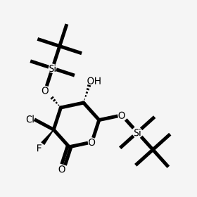 CC(C)(C)[Si](C)(C)OC1OC(=O)[C@](F)(Cl)[C@H](O[Si](C)(C)C(C)(C)C)[C@@H]1O